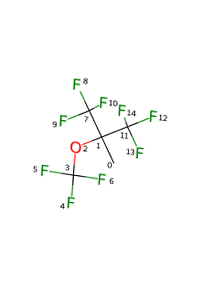 CC(OC(F)(F)F)(C(F)(F)F)C(F)(F)F